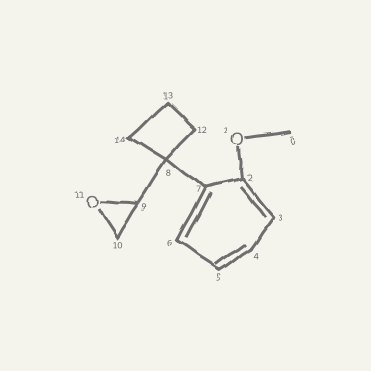 COc1ccccc1C1(C2CO2)CCC1